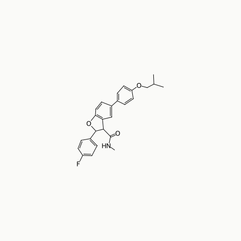 CNC(=O)C1c2cc(-c3ccc(OCC(C)C)cc3)ccc2OC1c1ccc(F)cc1